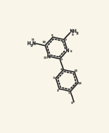 Cc1ccc(-c2nc(N)cc(N)n2)cc1